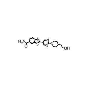 NC(=O)c1ccc2nc(-c3cnc(N4CCC(CCO)CC4)nc3)sc2c1